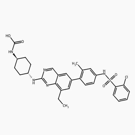 CCc1cc(-c2ccc(NS(=O)(=O)c3ccccc3Cl)cc2C)cc2cnc(N[C@H]3CC[C@H](NC(=O)O)CC3)nc12